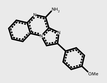 COc1ccc(-c2cn3c(n2)c(N)nc2ccccc23)cc1